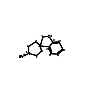 CC(C)N1CCC2(CC1)COc1ccccc12